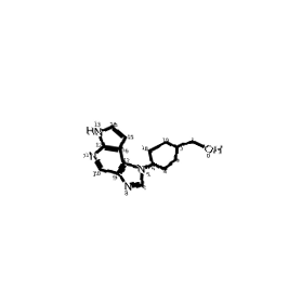 OCC1CCC(n2cnc3cnc4[nH]ccc4c32)CC1